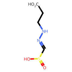 O=C(O)CCNN=CS(=O)O